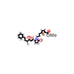 COC(=O)c1ccc(CCCN2C(=O)CC[C@@H]2C=C[C@@H](O)[C@@H](C)CCc2ccccc2)s1